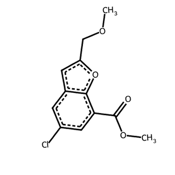 COCc1cc2cc(Cl)cc(C(=O)OC)c2o1